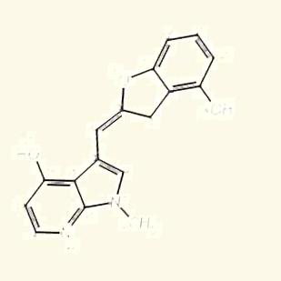 Cn1cc(C=C2Cc3c(O)cccc3O2)c2c(O)ccnc21